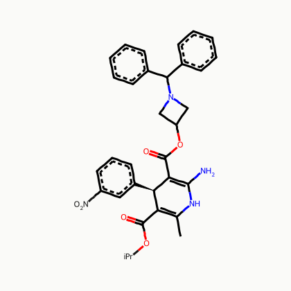 CC1=C(C(=O)OC(C)C)[C@@H](c2cccc([N+](=O)[O-])c2)C(C(=O)OC2CN(C(c3ccccc3)c3ccccc3)C2)=C(N)N1